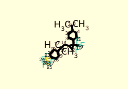 CC(C)c1ccc(C2(C(F)(F)F)CC2CC(C)(C)c2ccc(S(F)(F)(F)(F)F)cc2)cc1